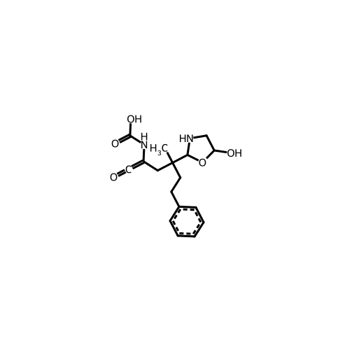 CC(CCc1ccccc1)(CC(=C=O)NC(=O)O)C1NCC(O)O1